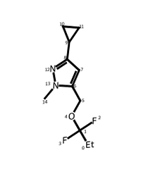 CCC(F)(F)OCc1cc(C2CC2)nn1C